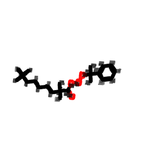 CC(C)(C)CCCCCC(C)(C)C(=O)OOOC(C)(C)c1ccccc1